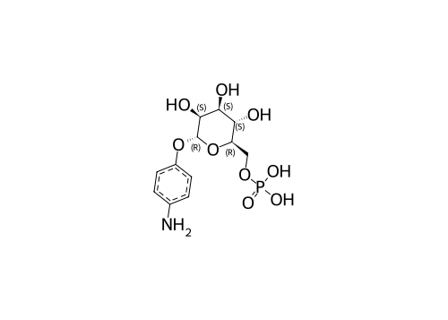 Nc1ccc(O[C@H]2O[C@H](COP(=O)(O)O)[C@@H](O)[C@H](O)[C@@H]2O)cc1